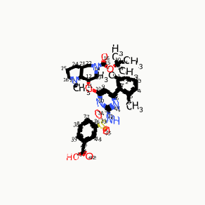 Cc1cccc(C)c1-c1cc(OC2CN(C(=O)OC(C)(C)C)CC3CCCN(C)C32)nc(NS(=O)(=O)c2cccc(C(=O)O)c2)n1